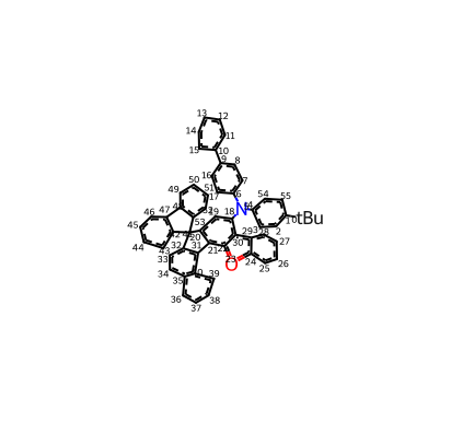 CC(C)(C)c1ccc(N(c2ccc(-c3ccccc3)cc2)c2cc3c(c4oc5ccccc5c24)-c2c(ccc4ccccc24)C32c3ccccc3-c3ccccc32)cc1